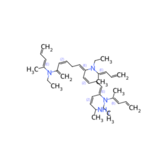 C=C/C=C(\C)N(CC)C(=C)/C=C\C/C=C(\C=C/C/C=C(\C=C/C(C)N)N(CC)/C(C)=C/C=C)N(CC)/C(C)=C/C=C